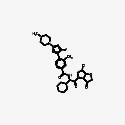 Cc1cc(C(=O)NC(C(=O)N2CC(Cl)C3OCC(=O)C32)C2CCCCC2)ccc1-c1nc(N2CCN(C)CC2)sc1F